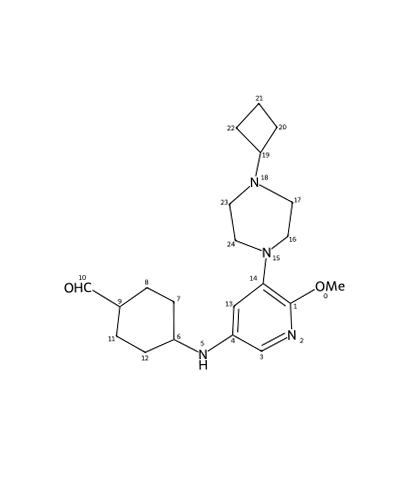 COc1ncc(NC2CCC(C=O)CC2)cc1N1CCN(C2CCC2)CC1